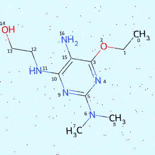 CCOc1nc(N(C)C)nc(NCCO)c1N